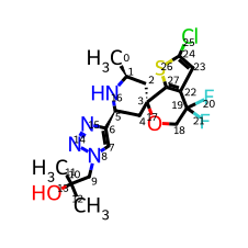 C[C@H]1C[C@@]2(C[C@@H](c3cn(CC(C)(C)O)nn3)N1)OCC(F)(F)c1cc(Cl)sc12